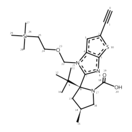 C#Cc1cc2c(nc([C@@]3(C(C)(C)C)C[C@H](C)CN3C(=O)O)n2COCC[Si](C)(C)C)s1